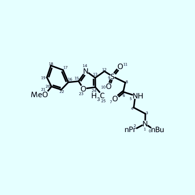 CCCCN(CCC)CCNC(=O)CS(=O)(=O)Cc1nc(-c2cccc(OC)c2)oc1C